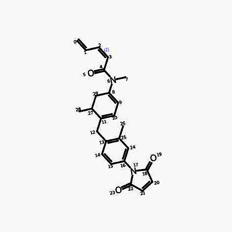 C=C/C=C\C(=O)N(C)C1=CC=C(Cc2ccc(N3C(=O)C=CC3=O)cc2C)C(C)C1